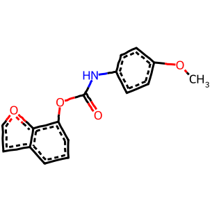 COc1ccc(NC(=O)Oc2cccc3ccoc23)cc1